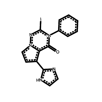 O=c1c2c(-c3ncc[nH]3)ccn2nc(I)n1-c1ccccc1